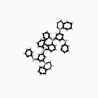 c1ccc(Oc2cc(N3CCCc4ccccc43)cc(N(c3ccccc3)c3cccc4c3c3ccccc3n4-c3cc(Oc4ccccc4)cc(N4CCCc5ccccc54)c3)c2)cc1